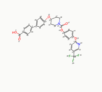 O=C(O)c1ccc(-c2ccc(OC3CCN(C(=O)Oc4ccc(Oc5ccc(C(F)(F)F)cn5)cc4)CC3)cc2)cc1